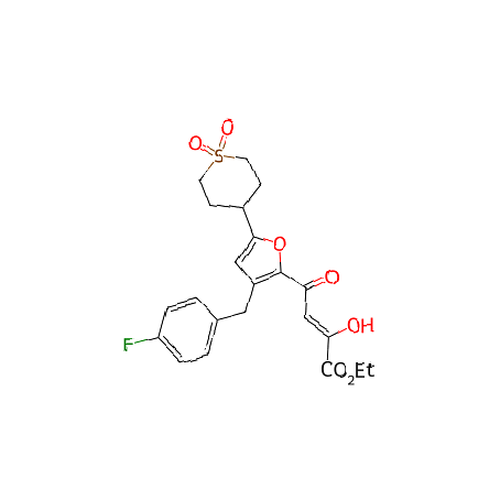 CCOC(=O)C(O)=CC(=O)c1oc(C2CCS(=O)(=O)CC2)cc1Cc1ccc(F)cc1